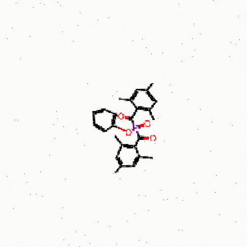 Cc1cc(C)c(C(=O)P(=O)(Oc2ccccc2)C(=O)c2c(C)cc(C)cc2C)c(C)c1